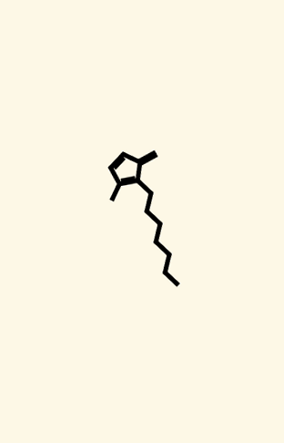 C=C1C=CC(C)=C1CCCCCCC